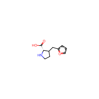 O=C(O)[C@H]1NCCC1Cc1ccco1